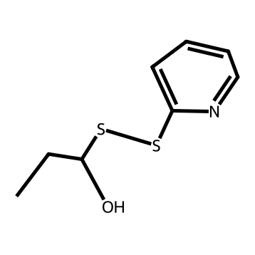 CCC(O)SSc1ccccn1